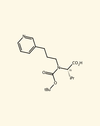 CC(C)[C@@H](C(=O)O)N(CCCc1cccnc1)C(=O)OC(C)(C)C